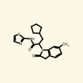 Cc1ccc2c(c1)N(C(CC1CCCC1)C(=O)Nc1nccs1)C(=O)C2